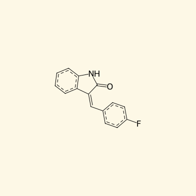 O=C1Nc2ccccc2C1=Cc1ccc(F)cc1